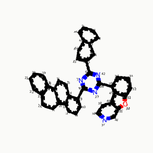 c1ccc2cc(-c3nc(-c4cccc5c4ccc4c6ccccc6ccc54)nc(-c4cccc5oc6cnccc6c45)n3)ccc2c1